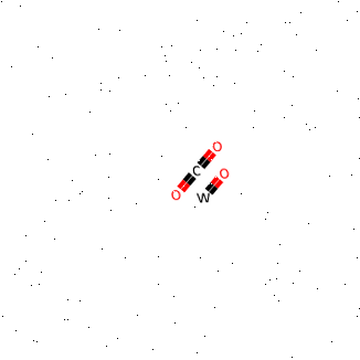 O=C=O.[O]=[W]